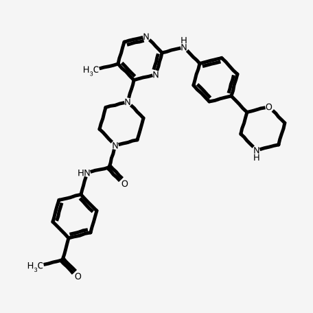 CC(=O)c1ccc(NC(=O)N2CCN(c3nc(Nc4ccc(C5CNCCO5)cc4)ncc3C)CC2)cc1